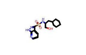 O=S(=O)(NC(CO)CC1CCCCC1)c1n[nH]c2ncccc12